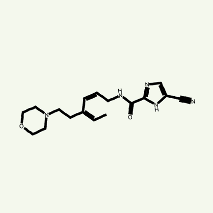 C/C=C(\C=C/CNC(=O)c1ncc(C#N)[nH]1)CCN1CCOCC1